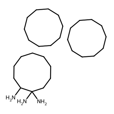 C1CCCCCCCCC1.C1CCCCCCCCC1.NC1CCCCCCCCC1(N)N